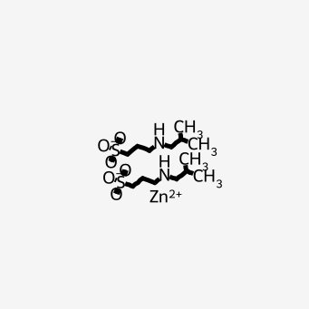 CC(C)CNCCCS(=O)(=O)[O-].CC(C)CNCCCS(=O)(=O)[O-].[Zn+2]